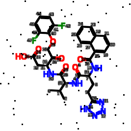 CC(C)[C@H](NC(=O)[C@H](CCc1nnn[nH]1)NC(=O)c1cccc2ccccc12)C(=O)N[C@@H](CC(=O)O)C(=O)COc1c(F)cccc1F